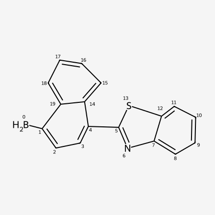 Bc1ccc(-c2nc3ccccc3s2)c2ccccc12